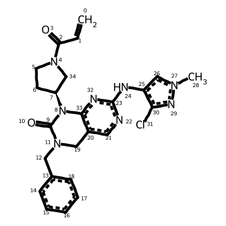 C=CC(=O)N1CC[C@H](N2C(=O)N(Cc3ccccc3)Cc3cnc(Nc4cn(C)nc4Cl)nc32)C1